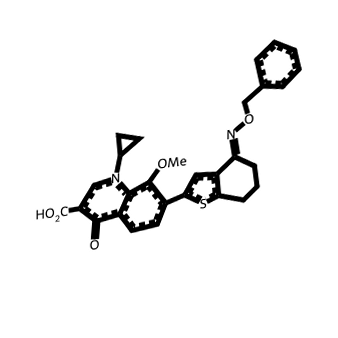 COc1c(-c2cc3c(s2)CCCC3=NOCc2ccccc2)ccc2c(=O)c(C(=O)O)cn(C3CC3)c12